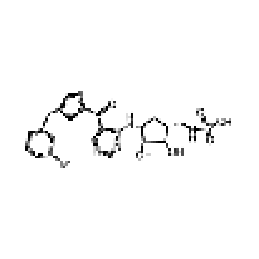 O=C(c1cc(Cc2cccc(Br)c2)cs1)c1cncnc1N[C@@H]1C[C@H](CNS(=O)(=O)O)[C@@H](O)[C@H]1O